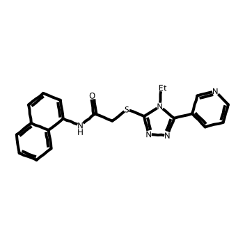 CCn1c(SCC(=O)Nc2cccc3ccccc23)nnc1-c1cccnc1